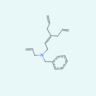 C=CCC(=CCN(CC=C)Cc1ccccc1)CC=C